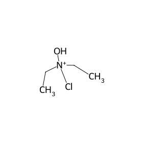 CC[N+](O)(Cl)CC